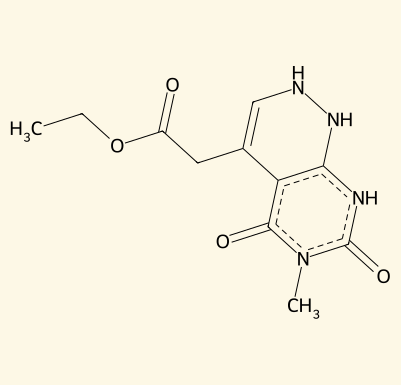 CCOC(=O)CC1=CNNc2[nH]c(=O)n(C)c(=O)c21